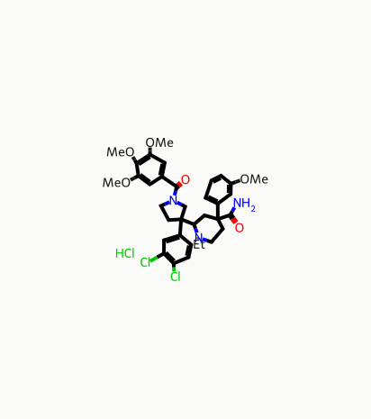 CCN1CCC(C(N)=O)(c2cccc(OC)c2)CC1C1(c2ccc(Cl)c(Cl)c2)CCN(C(=O)c2cc(OC)c(OC)c(OC)c2)C1.Cl